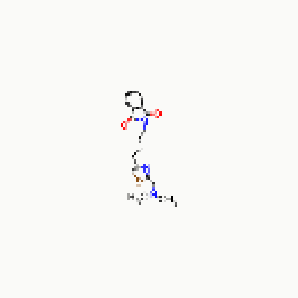 CN(C)Cc1nc(CCCCN2C(=O)c3ccccc3C2=O)cs1